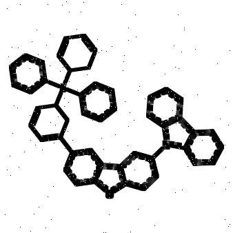 C1=CCC(S(c2ccccc2)(c2ccccc2)C2C=CC=C(c3ccc4oc5ccc(-n6c7ccccc7c7ccccc76)cc5c4c3)C2)C=C1